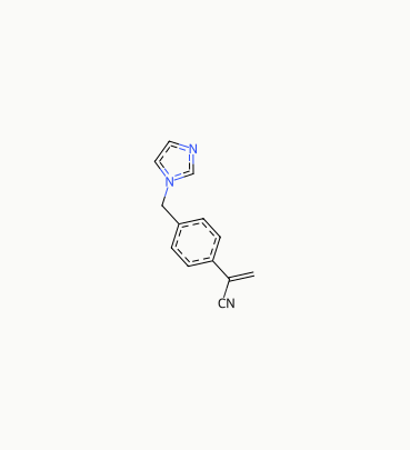 C=C(C#N)c1ccc(Cn2ccnc2)cc1